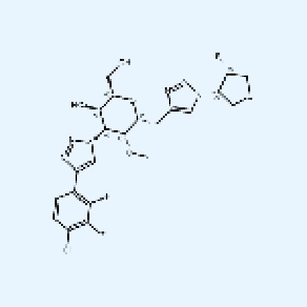 CO[C@@H]1[C@@H](n2cc(-c3ccc(Cl)c(F)c3F)nn2)[C@@H](O)[C@@H](CO)O[C@@H]1Cc1cn([C@H]2COC[C@H]2F)nn1